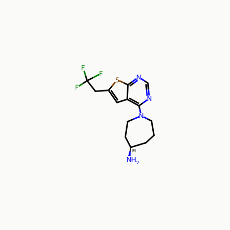 N[C@@H]1CCCN(c2ncnc3sc(CC(F)(F)F)cc23)CC1